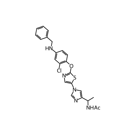 CC(=O)NC(C)c1cn(-c2cnc(Oc3ccc(NCc4ccccc4)cc3Cl)s2)cn1